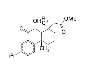 COC(=O)C[C@@]1(C)CCC[C@]2(C)c3ccc(C(C)C)cc3C(=O)C(O)C12